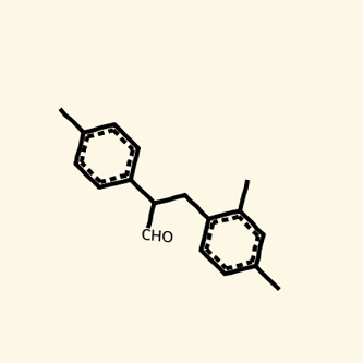 Cc1ccc(C(C=O)Cc2ccc(C)cc2C)cc1